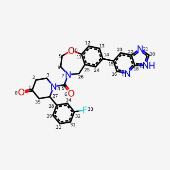 O=C1CCN(C(=O)N2CCOc3ccc(-c4cnc5[nH]cnc5c4)cc3C2)C(c2cccc(F)c2)C1